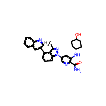 Cc1nn(-c2cnc(C(N)=O)c(N[C@H]3CC[C@H](O)CC3)c2)c2cccc(-c3cnc4ccccc4c3)c12